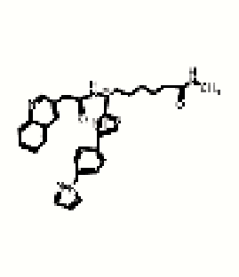 CNC(=O)CCCCC[C@H](NC(=O)Cc1cnc2ccccc2c1)c1ncc(-c2ccc(-n3cccn3)cc2)[nH]1